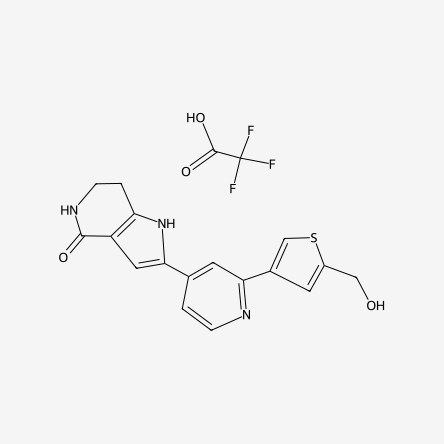 O=C(O)C(F)(F)F.O=C1NCCc2[nH]c(-c3ccnc(-c4csc(CO)c4)c3)cc21